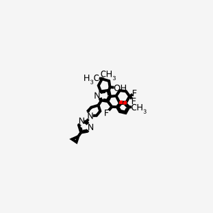 Cc1ccc(C(F)c2c(C3CCN(c4ncc(C5CC5)cn4)CC3)nc3c(c2C2CCC(F)(F)CC2)C(O)CC(C)(C)C3)cc1